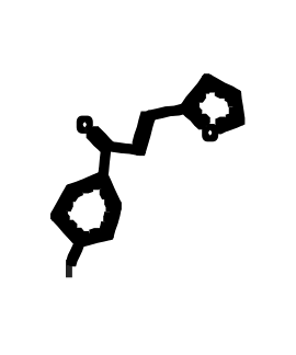 O=C(/C=C/c1ccco1)c1ccc(I)cc1